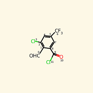 O=Cc1c(Cl)cc(C(F)(F)F)cc1C(=O)Cl